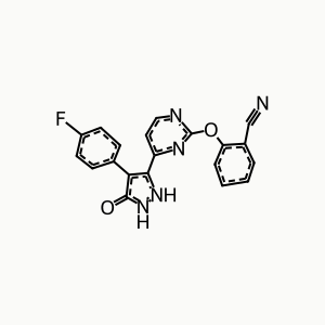 N#Cc1ccccc1Oc1nccc(-c2[nH][nH]c(=O)c2-c2ccc(F)cc2)n1